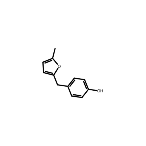 Cc1ccc(Cc2ccc(O)cc2)o1